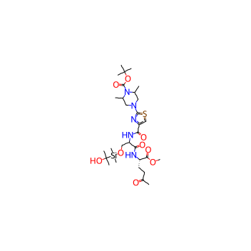 COC(=O)[C@H](CCC(C)=O)NC(=O)C(CO[Si](C)(C)C(C)(C)O)NC(=O)c1csc(N2CC(C)N(C(=O)OC(C)(C)C)C(C)C2)n1